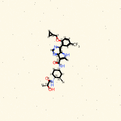 Cc1[nH]c2c(-c3cc(C(F)(F)F)ccc3OCC3CC3)ncnc2c1C(=O)N[C@H]1CC[C@@H](NC(=O)[C@H](C)O)[C@H](C)C1